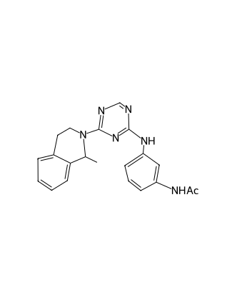 CC(=O)Nc1cccc(Nc2ncnc(N3CCc4ccccc4C3C)n2)c1